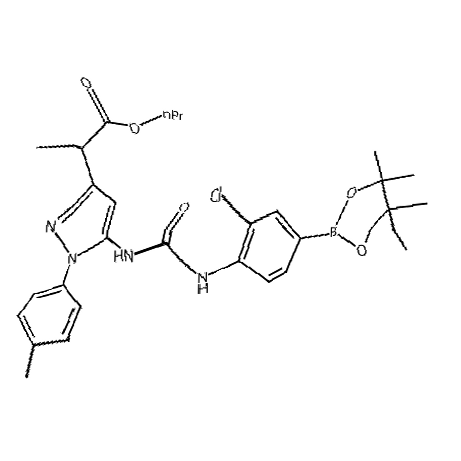 CCCOC(=O)C(C)c1cc(NC(=O)Nc2ccc(B3OC(C)(C)C(C)(C)O3)cc2Cl)n(-c2ccc(C)cc2)n1